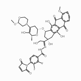 COc1cccc2c1C(=O)c1c(O)c3c(c(O)c1C2=O)C[C@@](O)(/C(CO)=N/NC(=O)c1ccc(N2C(=O)C=CC2=O)c(F)c1F)C[C@@H]3O[C@H]1CC(N2CCO[C@@H](OC)C2)=C(O)[C@H](C)O1